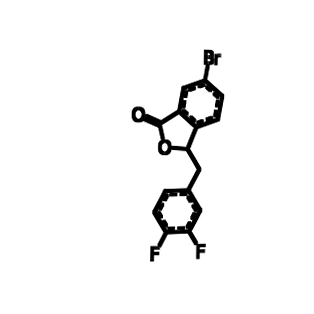 O=C1OC(Cc2ccc(F)c(F)c2)c2ccc(Br)cc21